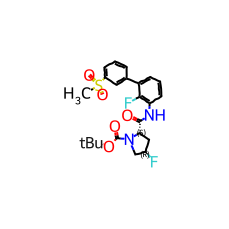 CC(C)(C)OC(=O)N1C[C@H](F)C[C@H]1C(=O)Nc1cccc(-c2cccc(S(C)(=O)=O)c2)c1F